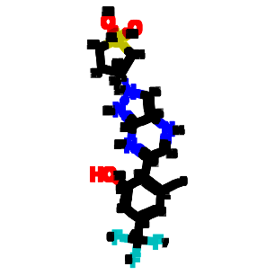 Cc1cc(C(F)(F)F)cc(O)c1-c1cnc2cn([C@@H]3CCS(=O)(=O)C3)nc2n1